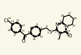 Cc1c(SCc2ccc(C(=O)c3ccc(Cl)cc3)cc2)nc2n(c1=O)CCCC2